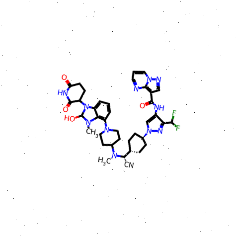 CN1c2c(N3CCC(N(C)[C@@H](C#N)[C@H]4CC[C@H](n5cc(NC(=O)c6cnn7cccnc67)c(C(F)F)n5)CC4)CC3)cccc2N(C2CCC(=O)NC2=O)C1O